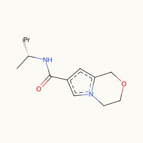 CC(C)[C@@H](C)NC(=O)c1cc2n(c1)CCOC2